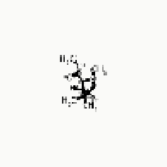 COC(=O)[C@@H]1[C@@H]2[C@H](CN1C)C2(C)C